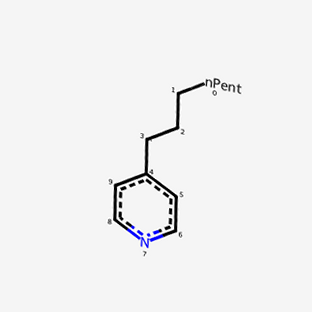 CCCCCCC[CH]c1ccncc1